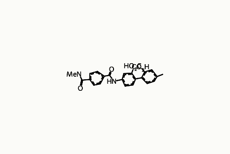 CNC(=O)c1ccc(C(=O)Nc2ccc(-c3ccc(C)cc3C(=O)O)c(C(=O)O)c2)cc1